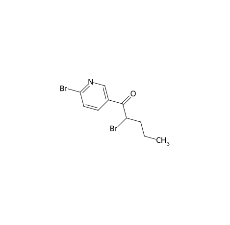 CCCC(Br)C(=O)c1ccc(Br)nc1